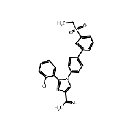 CCS(=O)(=O)c1cccc(-c2ccc(-n3cc(C(C)=N)nc3-c3ccccc3Cl)cc2)c1